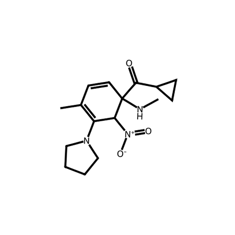 CNC1(C(=O)C2CC2)C=CC(C)=C(N2CCCC2)C1[N+](=O)[O-]